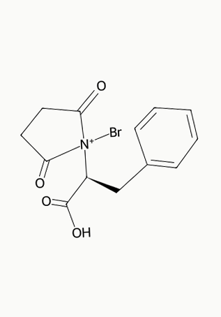 O=C(O)[C@H](Cc1ccccc1)[N+]1(Br)C(=O)CCC1=O